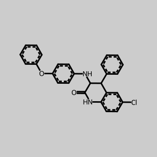 O=C1Nc2ccc(Cl)cc2C(c2ccccc2)C1Nc1ccc(Oc2ccccc2)cc1